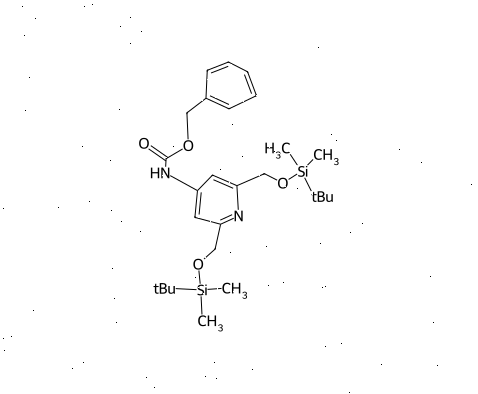 CC(C)(C)[Si](C)(C)OCc1cc(NC(=O)OCc2ccccc2)cc(CO[Si](C)(C)C(C)(C)C)n1